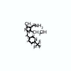 Cc1nn(Cc2ccc(C(F)(F)F)nc2)c(C)c1CN.Cl